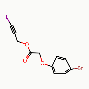 O=C(COc1ccc(Br)cc1)OCC#CI